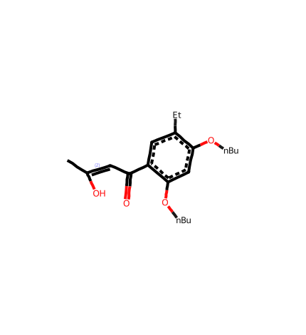 CCCCOc1cc(OCCCC)c(C(=O)/C=C(/C)O)cc1CC